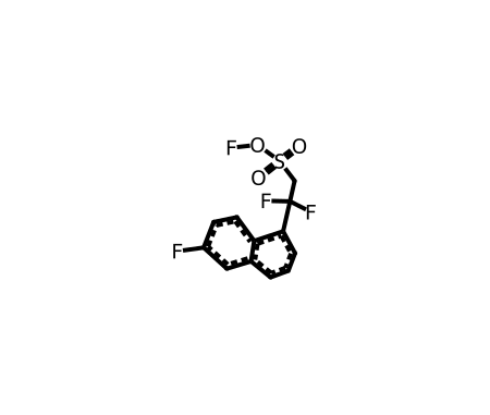 O=S(=O)(CC(F)(F)c1cccc2cc(F)ccc12)OF